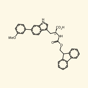 COc1cccc(-c2ccc3c(C[C@H](NC(=O)OCC4c5ccccc5-c5ccccc54)C(=O)O)c[nH]c3c2)c1